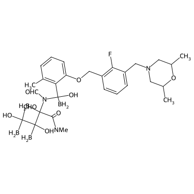 BC(O)(c1c(C)cccc1OCc1cccc(CN2CC(C)OC(C)C2)c1F)N(C=O)C(B)(C(=O)NC)C(B)(O)C(B)(O)C=O